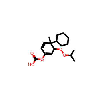 CC(C)OOC1C=C(OC(=O)O)C=CC1(C)C1CCCCC1